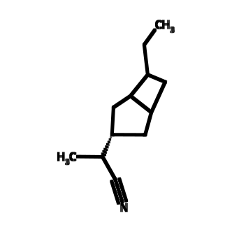 CCC1CC2C[C@H](C(C)C#N)CC12